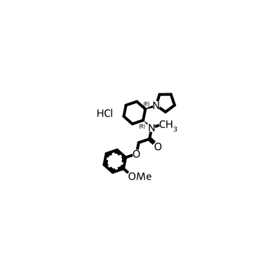 COc1ccccc1OCC(=O)N(C)[C@@H]1CCCC[C@H]1N1CCCC1.Cl